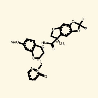 COc1ccc2c(c1)O[C@@H](Cn1ncccc1=O)C[C@H]2NC(=O)[C@@]1(C)COc2cc3c(cc21)OC(F)(F)O3